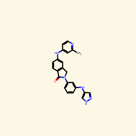 Cc1cc(Nc2ccc3c(c2)CN(c2cccc(Nc4cn[nH]c4)c2)C3=O)ccn1